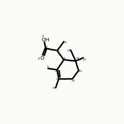 CC1=C(C)C(C(C)C(=O)O)C(C)(C)CC1